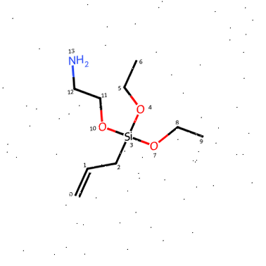 C=CC[Si](OCC)(OCC)OCCN